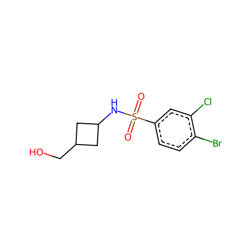 O=S(=O)(NC1CC(CO)C1)c1ccc(Br)c(Cl)c1